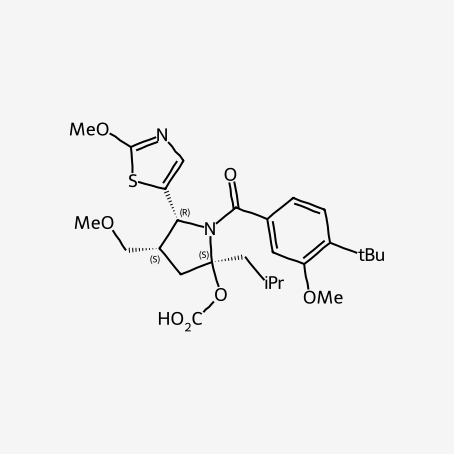 COC[C@H]1C[C@](CC(C)C)(OC(=O)O)N(C(=O)c2ccc(C(C)(C)C)c(OC)c2)[C@H]1c1cnc(OC)s1